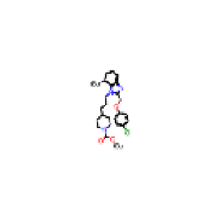 CC(C)(C)OC(=O)N1CCC(CCCn2c(COc3ccc(Cl)cc3)nc3cccc(C(C)(C)C)c32)CC1